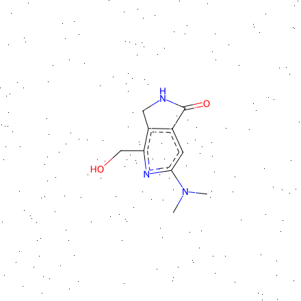 CN(C)c1cc2c(c(CO)n1)CNC2=O